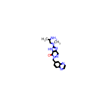 CC(N)CN(C)c1nc2cnn(Cc3ccc4nccnc4c3)c(=O)c2[nH]1